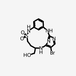 O=S1(=O)CCC(CO)Nc2nc(ncc2Br)Nc2cccc(c2)N1